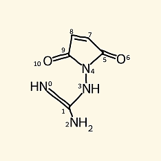 N=C(N)NN1C(=O)C=CC1=O